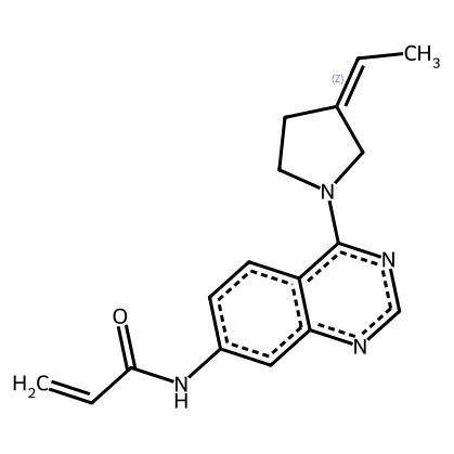 C=CC(=O)Nc1ccc2c(N3CC/C(=C/C)C3)ncnc2c1